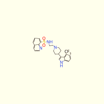 O=S(=O)(NCCN1CCC(c2c[nH]c3cccc(C(F)(F)F)c23)CC1)c1cccc2cccnc12